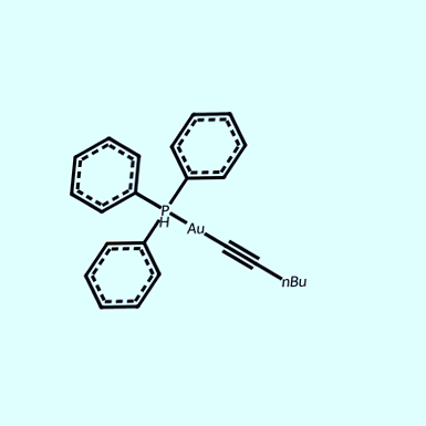 CCCCC#[C][Au][PH](c1ccccc1)(c1ccccc1)c1ccccc1